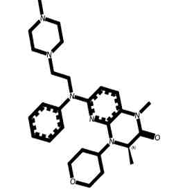 C[C@@H]1C(=O)N(C)c2ccc(N(CCN3CCN(C)CC3)c3ccccc3)nc2N1C1CCOCC1